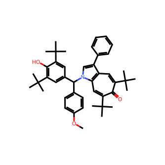 COc1ccc(C(c2cc(C(C)(C)C)c(O)c(C(C)(C)C)c2)n2cc(-c3ccccc3)c3cc(C(C)(C)C)c(=O)c(C(C)(C)C)cc32)cc1